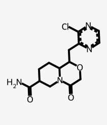 NC(=O)C1CCC2C(Cc3nccnc3Cl)OCC(=O)N2C1